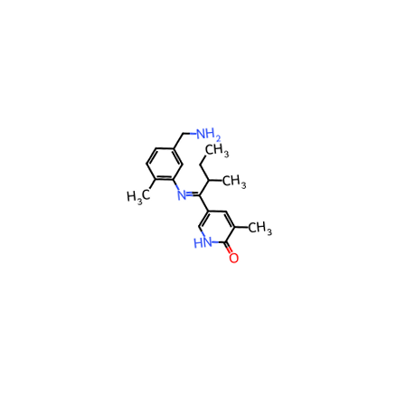 CCC(C)/C(=N\c1cc(CN)ccc1C)c1c[nH]c(=O)c(C)c1